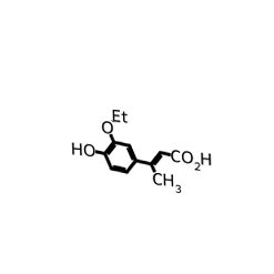 CCOc1cc(C(C)=CC(=O)O)ccc1O